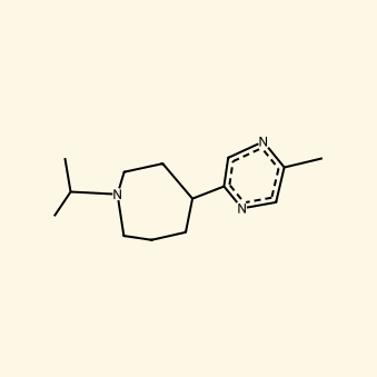 Cc1cnc(C2CCCN(C(C)C)CC2)cn1